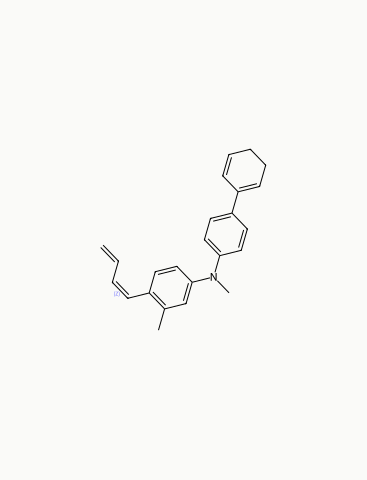 C=C/C=C\c1ccc(N(C)c2ccc(C3=CCCC=C3)cc2)cc1C